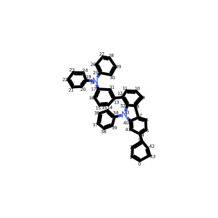 c1ccc(-c2ccc3c4cccc(-c5cccc(N(c6ccccc6)c6ccccc6)c5)c4n(-c4ccccc4)c3c2)cc1